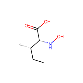 CC[C@H](C)[C@@H](NO)C(=O)O